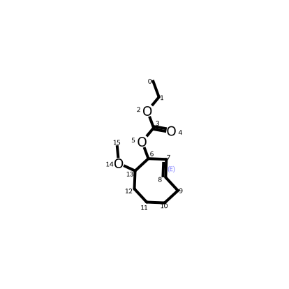 CCOC(=O)OC1/C=C/CCCCC1OC